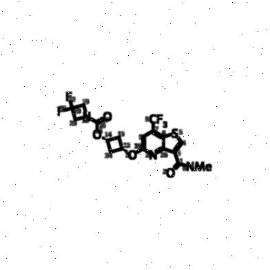 CNC(=O)c1csc2c(C(F)(F)F)cc(O[C@H]3C[C@@H](OC(=O)N4CC(F)(F)C4)C3)nc12